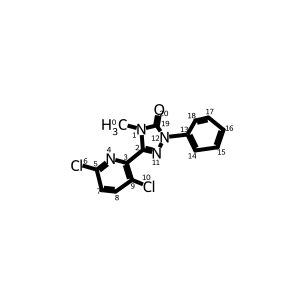 Cn1c(-c2nc(Cl)ccc2Cl)nn(-c2ccccc2)c1=O